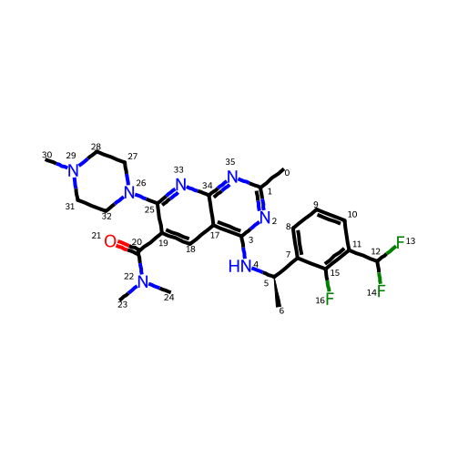 Cc1nc(N[C@H](C)c2cccc(C(F)F)c2F)c2cc(C(=O)N(C)C)c(N3CCN(C)CC3)nc2n1